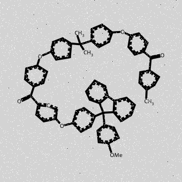 COc1ccc(C2(c3ccc(Oc4ccc(C(=O)c5ccc(Oc6ccc(C(C)(C)c7ccc(Oc8ccc(C(=O)c9ccc(C)cc9)cc8)cc7)cc6)cc5)cc4)cc3)c3ccccc3-c3ccccc32)cc1